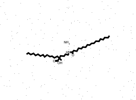 CCCCCCCCCCCCCCCCCC(=O)NCCCCC(C)(CCCCCCCCCCCCCC)C(=O)O.N